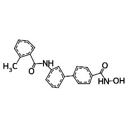 Cc1ccccc1C(=O)Nc1cccc(-c2ccc(C(=O)NO)cc2)c1